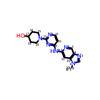 CC(C)n1cnc2cnc(Nc3ccnc(N4CCC(O)CC4)n3)cc21